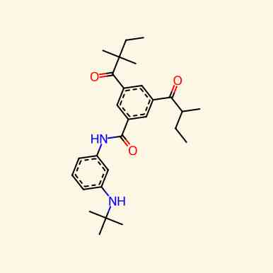 CCC(C)C(=O)c1cc(C(=O)Nc2cccc(NC(C)(C)C)c2)cc(C(=O)C(C)(C)CC)c1